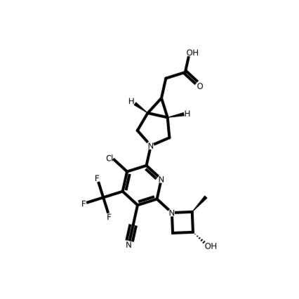 C[C@H]1[C@H](O)CN1c1nc(N2C[C@@H]3C(CC(=O)O)[C@@H]3C2)c(Cl)c(C(F)(F)F)c1C#N